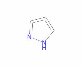 C1=C=NNC=1